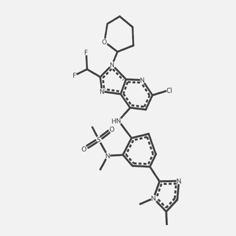 Cc1cnc(-c2ccc(Nc3cc(Cl)nc4c3nc(C(F)F)n4C3CCCCO3)c(N(C)S(C)(=O)=O)c2)n1C